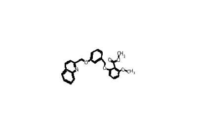 COC(=O)c1c(OC)cccc1OCc1cccc(OCc2ccc3ccccc3n2)c1